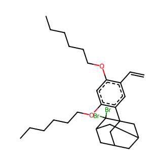 C=Cc1cc(C23CC4CC(CC(C4)C2(Br)Br)C3)c(OCCCCCC)cc1OCCCCCC